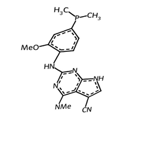 CNc1nc(Nc2ccc(P(C)C)cc2OC)nc2[nH]cc(C#N)c12